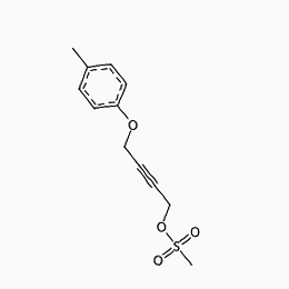 Cc1ccc(OCC#CCOS(C)(=O)=O)cc1